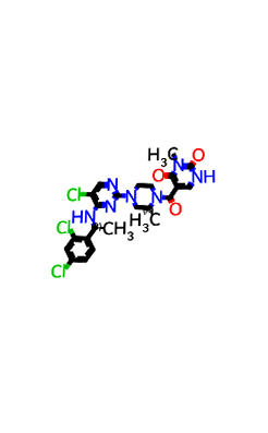 C[C@@H]1CN(c2ncc(Cl)c(N[C@H](C)c3ccc(Cl)cc3Cl)n2)CCN1C(=O)c1c[nH]c(=O)n(C)c1=O